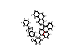 c1ccc(-c2nc3cc4c(cc3o2)oc2cccc(-c3ccc(N(c5ccc6c(ccc7ccccc76)c5)c5ccccc5-c5ccccc5)cc3)c24)cc1